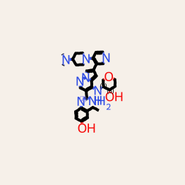 CCc1cc(O)ccc1/N=C(\N)c1cnn2cc(-c3cnccc3N3CCC(N(C)C)CC3)cc2c1N[C@H]1COCC[C@@H]1O